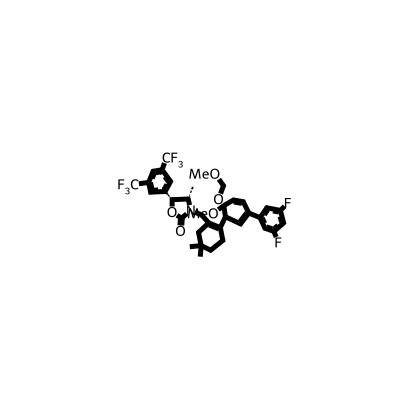 COCOC1(OC)C=CC(c2cc(F)cc(F)c2)=CC1C1=C(CN2C(=O)O[C@H](c3cc(C(F)(F)F)cc(C(F)(F)F)c3)[C@@H]2C)CC(C)(C)CC1